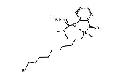 Br.CN(C)C(=O)Oc1cccnc1C(=O)[N+](C)(C)CCCCCCCCCCBr.[Br-]